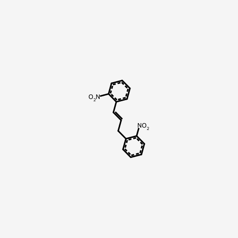 O=[N+]([O-])c1ccccc1C=CCc1ccccc1[N+](=O)[O-]